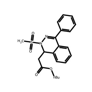 CCCCOC(=O)CC1c2ccccc2C(c2ccccc2)=NN1S(C)(=O)=O